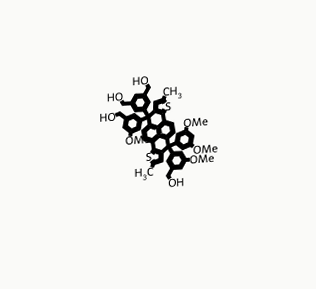 COc1cc(CO)cc(C2(c3cc(CO)cc(CO)c3)c3cc(C)sc3-c3ccc4c5c(ccc2c35)-c2sc(C)cc2C4(c2cc(CO)cc(OC)c2)c2cc(OC)cc(OC)c2)c1